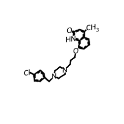 Cc1cc(=O)[nH]c2c(OCCCN3CCN(Cc4ccc(Cl)cc4)CC3)cccc12